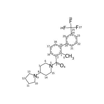 Cc1c(C(=O)N2CCC(N3CCCC3)CC2)cccc1-c1cccc(C(F)(F)F)c1